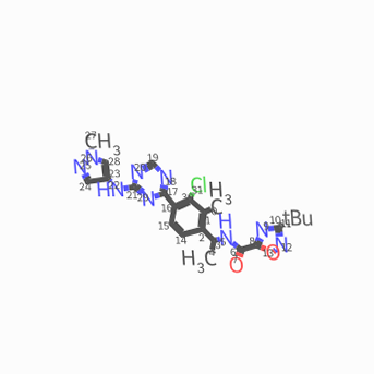 Cc1c(C(C)NC(=O)c2nc(C(C)(C)C)no2)ccc(-c2ncnc(Nc3cnn(C)c3)n2)c1Cl